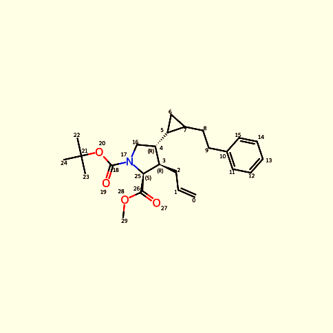 C=CC[C@@H]1[C@@H](C2CC2CCc2ccccc2)CN(C(=O)OC(C)(C)C)[C@@H]1C(=O)OC